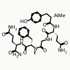 CN[C@@H](Cc1ccc(O)cc1)C(=O)N[C@H](CCC(N)=O)C(=O)NCC(=O)N(C)[C@@H](Cc1ccccc1)C(=O)N[C@H](CCC(N)=O)C(N)=O